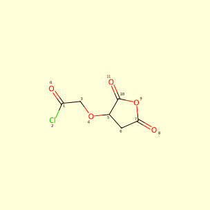 O=C(Cl)COC1CC(=O)OC1=O